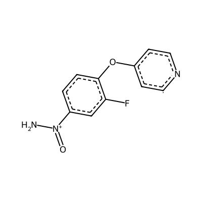 N[N+](=O)c1ccc(Oc2c[c]ncc2)c(F)c1